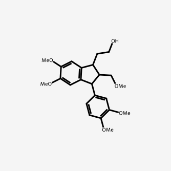 COCC1C(CCO)c2cc(OC)c(OC)cc2C1c1ccc(OC)c(OC)c1